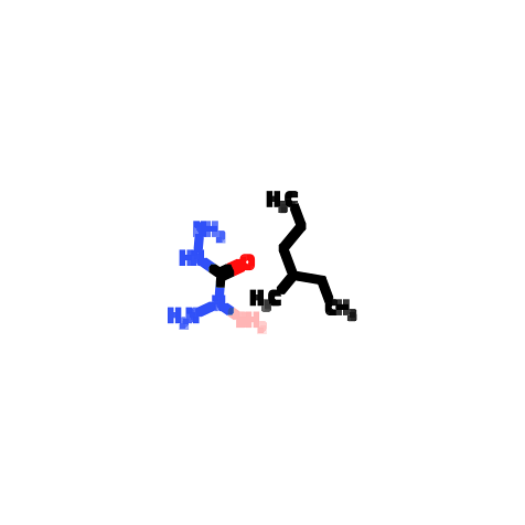 BN(N)C(=O)NN.CCCC(C)CC